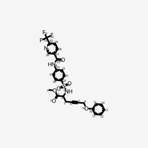 COC(=O)C(CC#CCOc1ccccc1)NS(=O)(=O)c1ccc(NC(=O)c2ccc(C(F)(F)F)nc2)cc1